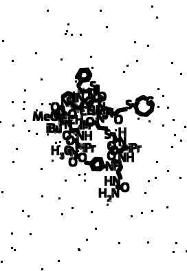 CC[C@H](C)[C@@H]([C@@H](CC(=O)N1CCC[C@H]1[C@H](OC)[C@@H](C)C(=O)N[C@@H](Cc1ccccc1)c1nccs1)OC)N(C)C(=O)[C@@H](NC(=O)[C@H](C(C)C)N(C)C(=O)OCc1ccc(NC(=O)[C@H](CCCNC(N)=O)NC(=O)[C@@H](NC(=O)CSCCC(=O)N2CN(C(=O)CCSC)CN(C(=O)CCSC3CCCCCCCC3)C2)C(C)C)cc1)C(C)C